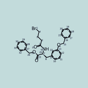 O=C(CCCBr)N[C@@H](Cc1cccc(OCc2ccccc2)c1)C(=O)OCc1ccccc1